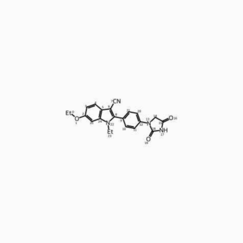 CCOc1ccc2c(C#N)c(-c3ccc(N4CC(=O)NC4=O)cc3)n(CC)c2c1